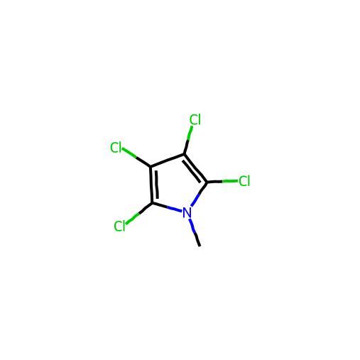 Cn1c(Cl)c(Cl)c(Cl)c1Cl